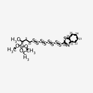 CO[Si](OC)(OC)C(C)CCSSSSSSSSc1nc2ccccc2s1